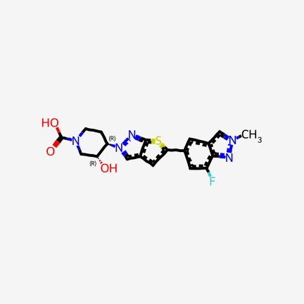 Cn1cc2cc(-c3cc4cn([C@@H]5CCN(C(=O)O)C[C@H]5O)nc4s3)cc(F)c2n1